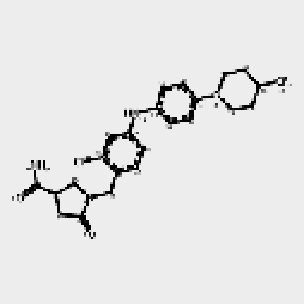 NC(=O)C1CC(=O)N(Cc2ccc(Nc3ccc(N4CCC(C(F)(F)F)CC4)cc3)cc2Cl)C1